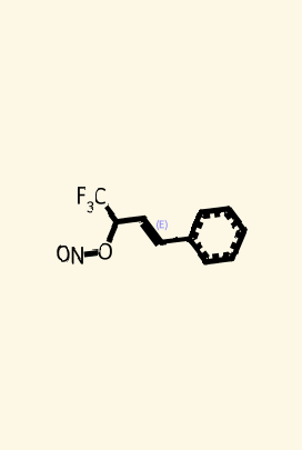 O=NOC(/C=C/c1ccccc1)C(F)(F)F